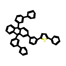 c1ccc(-c2cccc(-c3c4ccccc4c(-c4cccc(-c5ccccc5)c4)c4cc(-c5cccc(-c6ccc(-c7ccccc7)s6)c5)ccc34)c2)cc1